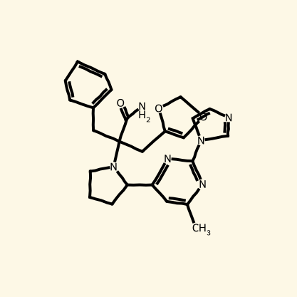 Cc1cc(C2CCCN2C(CC2=COCO2)(Cc2ccccc2)C(N)=O)nc(-n2ccnc2)n1